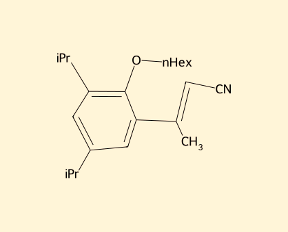 CCCCCCOc1c(C(C)=CC#N)cc(C(C)C)cc1C(C)C